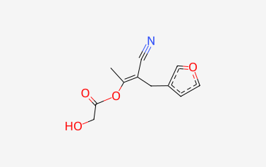 C/C(OC(=O)CO)=C(\C#N)Cc1ccoc1